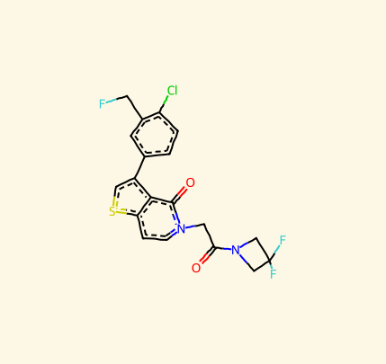 O=C(Cn1ccc2scc(-c3ccc(Cl)c(CF)c3)c2c1=O)N1CC(F)(F)C1